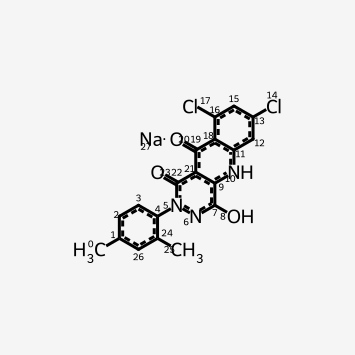 Cc1ccc(-n2nc(O)c3[nH]c4cc(Cl)cc(Cl)c4c(=O)c3c2=O)c(C)c1.[Na]